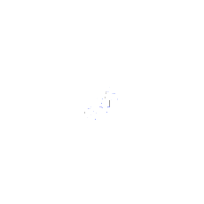 O=C(O)c1cnn(-c2nc(O)c3c(n2)c(F)nn3CCC2CCCC2)c1